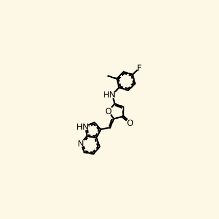 Cc1cc(F)ccc1NC1=CC(=O)/C(=C/c2c[nH]c3ncccc23)O1